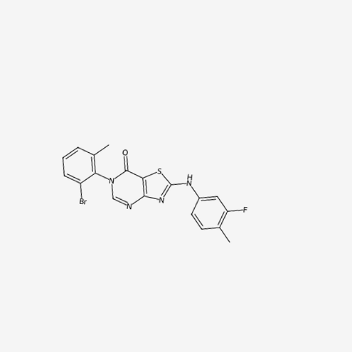 Cc1ccc(Nc2nc3ncn(-c4c(C)cccc4Br)c(=O)c3s2)cc1F